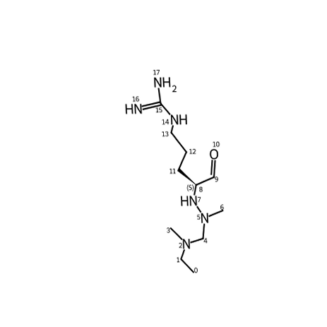 CCN(C)CN(C)N[C@H](C=O)CCCNC(=N)N